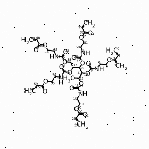 C=CC(=C)OCCNC(=O)OC(C(C)OC(=O)NCCOC(=O)C=C)C(OC(=O)NCCOC(=O)C=C)C(COC(=O)NCCOC(=O)C=C)OC(=O)NCCOC(=O)C=C